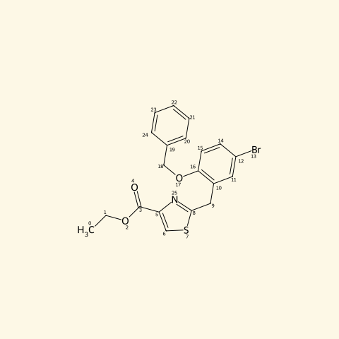 CCOC(=O)c1csc(Cc2cc(Br)ccc2OCc2ccccc2)n1